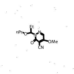 CCCOC(CC)n1ncc(OC)c(C#N)c1=O